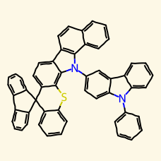 c1ccc(-n2c3ccccc3c3cc(-n4c5c6c(ccc5c5ccc7ccccc7c54)C4(c5ccccc5S6)c5ccccc5-c5ccccc54)ccc32)cc1